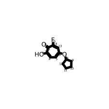 O=c1c(O)ccc(OC2CCCC2)cc1F